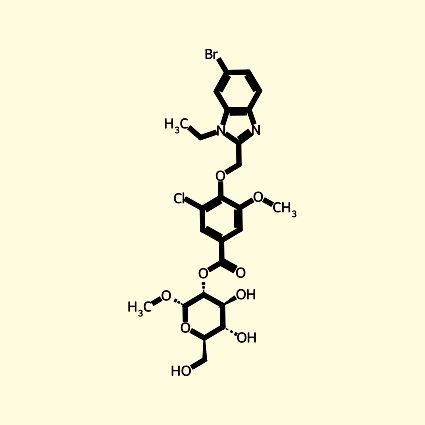 CCn1c(COc2c(Cl)cc(C(=O)O[C@H]3[C@@H](OC)O[C@H](CO)[C@@H](O)[C@@H]3O)cc2OC)nc2ccc(Br)cc21